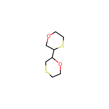 C1CSC(C2CSCCO2)CO1